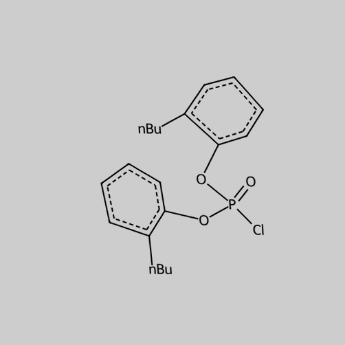 CCCCc1ccccc1OP(=O)(Cl)Oc1ccccc1CCCC